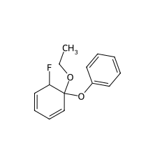 CCOC1(Oc2ccccc2)C=CC=CC1F